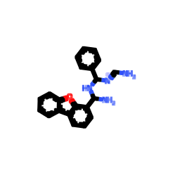 N/C=N/C(NC(N)c1cccc2c1oc1ccccc12)c1ccccc1